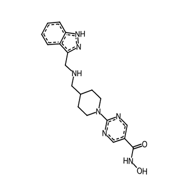 O=C(NO)c1cnc(N2CCC(CNCc3n[nH]c4ccccc34)CC2)nc1